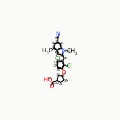 Cc1cc(C#N)cc2c1cc(Cc1c(Cl)ccc(OC3CCC(C(=O)O)C3)c1Cl)n2C